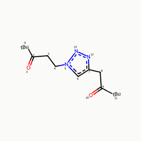 CC(C)(C)C(=O)CCn1cc(CC(=O)C(C)(C)C)nn1